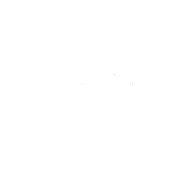 CC(O)c1oc(=O)c2ccccc2c1-c1cncs1